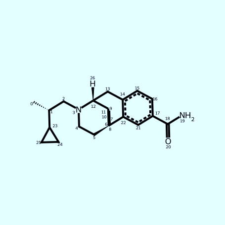 C[C@H](CN1CC[C@]23CCCCC2[C@H]1Cc1ccc(C(N)=O)cc13)C1CC1